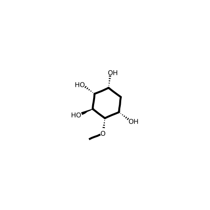 CO[C@@H]1[C@@H](O)[C@H](O)[C@H](O)C[C@@H]1O